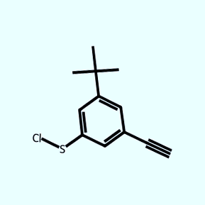 C#Cc1cc(SCl)cc(C(C)(C)C)c1